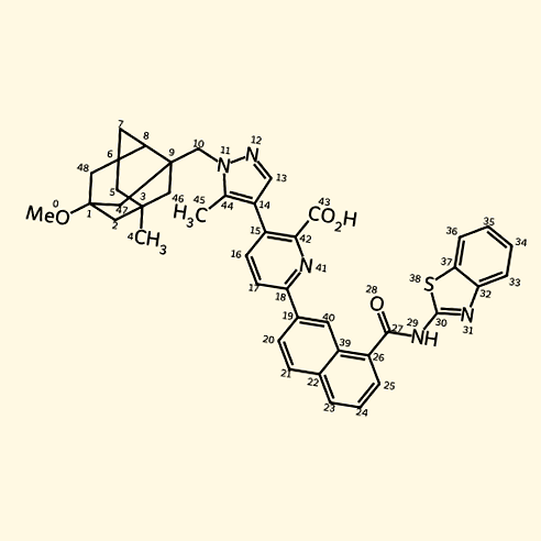 COC12CC3(C)CC4(CC4C(Cn4ncc(-c5ccc(-c6ccc7cccc(C(=O)Nc8nc9ccccc9s8)c7c6)nc5C(=O)O)c4C)(C3)C1)C2